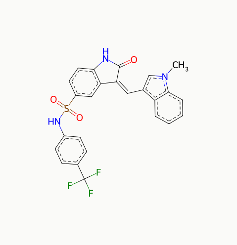 Cn1cc(C=C2C(=O)Nc3ccc(S(=O)(=O)Nc4ccc(C(F)(F)F)cc4)cc32)c2ccccc21